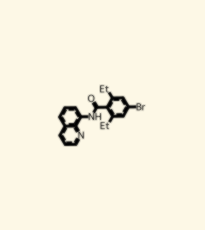 CCc1cc(Br)cc(CC)c1C(=O)Nc1cccc2cccnc12